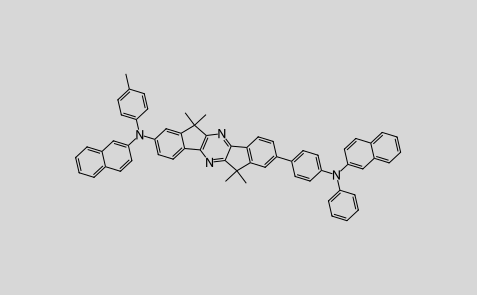 Cc1ccc(N(c2ccc3c(c2)C(C)(C)c2nc4c(nc2-3)C(C)(C)c2cc(-c3ccc(N(c5ccccc5)c5ccc6ccccc6c5)cc3)ccc2-4)c2ccc3ccccc3c2)cc1